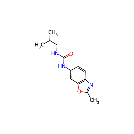 Cc1nc2ccc(NC(=O)NCC(C)C)cc2o1